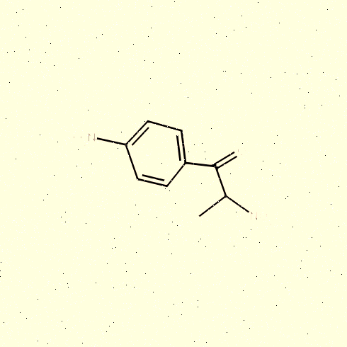 CC(C(=O)c1ccc([N+](=O)[O-])cc1)[N+](=O)[O-]